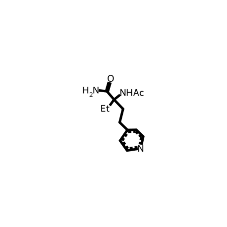 CCC(CCc1ccncc1)(NC(C)=O)C(N)=O